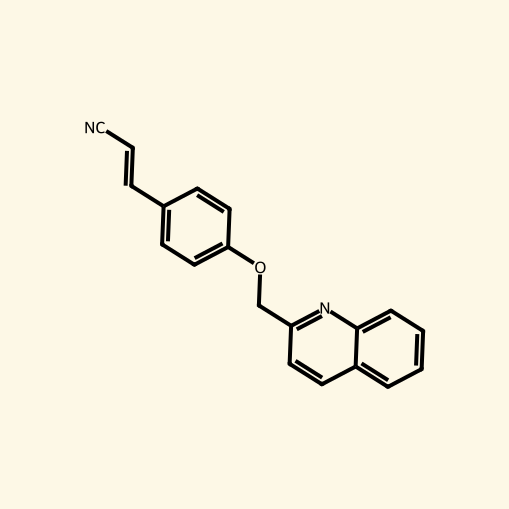 N#C/C=C/c1ccc(OCc2ccc3ccccc3n2)cc1